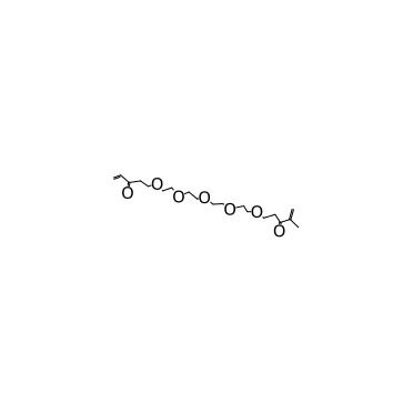 C=CC(=O)CCOCCOCCOCCOCCOCCC(=O)C(=C)C